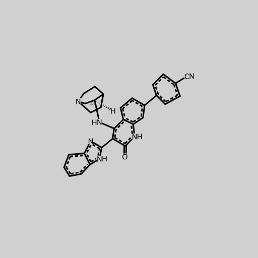 N#Cc1ccc(-c2ccc3c(N[C@H]4CN5CCC4CC5)c(-c4nc5ccccc5[nH]4)c(=O)[nH]c3c2)cc1